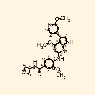 COc1cc(-c2c[nH]c3nc(Nc4ccc(C(=O)NC5COC5)cc4OC)nc(OC)c23)ccn1